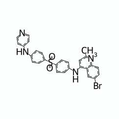 Cc1cc(Nc2ccc(S(=O)(=O)c3ccc(Nc4ccncc4)cc3)cc2)c2cc(Br)ccc2n1